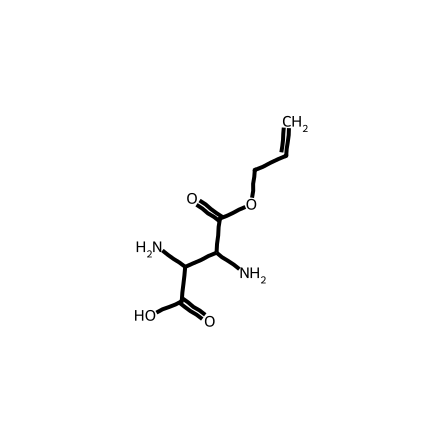 C=CCOC(=O)C(N)C(N)C(=O)O